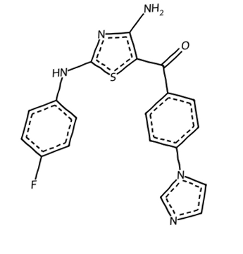 Nc1nc(Nc2ccc(F)cc2)sc1C(=O)c1ccc(-n2ccnc2)cc1